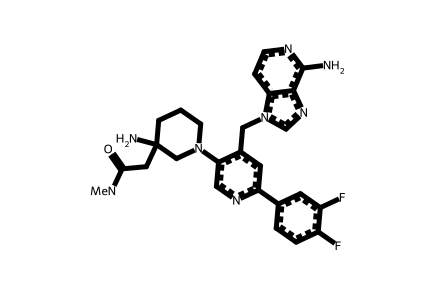 CNC(=O)CC1(N)CCCN(c2cnc(-c3ccc(F)c(F)c3)cc2Cn2cnc3c(N)nccc32)C1